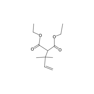 C=CC(C)(C)C(C(=O)OCC)C(=O)OCC